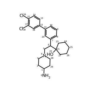 NC1CCN(CC(c2cccc(-c3ccc(Cl)c(Cl)c3)c2)C2(O)CCCCC2)CC1